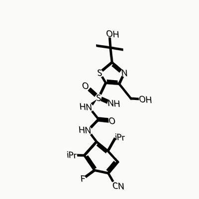 CC(C)c1cc(C#N)c(F)c(C(C)C)c1NC(=O)N[S@@](=N)(=O)c1sc(C(C)(C)O)nc1CO